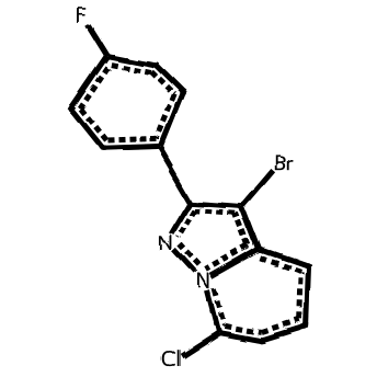 Fc1ccc(-c2nn3c(Cl)cccc3c2Br)cc1